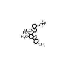 Cc1ccc2c(n1)oc1c(-c3ccc4c(CCC(F)(F)F)cccc4[n+]3C)c(C)c(C)cc12